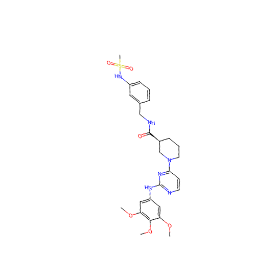 COc1cc(Nc2nccc(N3CCC[C@H](C(=O)NCc4cccc(NS(C)(=O)=O)c4)C3)n2)cc(OC)c1OC